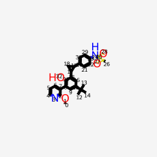 COc1ncccc1-c1cc(C(C)(C)C)cc(C2CC2c2ccc(NS(C)(=O)=O)cc2)c1O